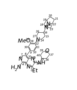 CCc1nc2c(N)ncc(-c3ccc(N4CCC(N5CC6CCC(C5)N6C)CC4)c(OC)c3)c2nc1NC1CCOCC1